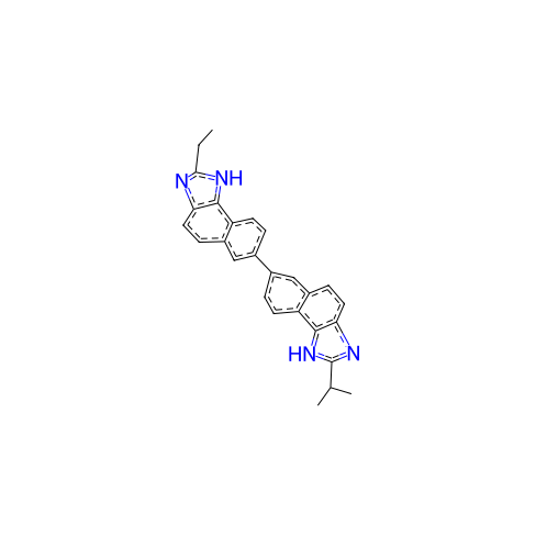 CCc1nc2ccc3cc(-c4ccc5c(ccc6nc(C(C)C)[nH]c65)c4)ccc3c2[nH]1